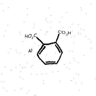 O=C(O)c1ccccc1C(=O)O.[Al]